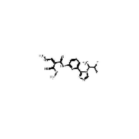 CN/C=C(\C(=N)OC)C(=O)Nc1cccc(-c2nncn2C(C)C(F)F)n1